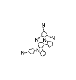 N#Cc1ccc(-n2c3ccccc3c3c4c5ccccc5n(-c5c(C#N)cc(C#N)cc5C#N)c4ccc32)cc1